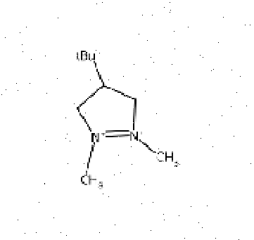 C[N+]1=[N+](C)CC(C(C)(C)C)C1